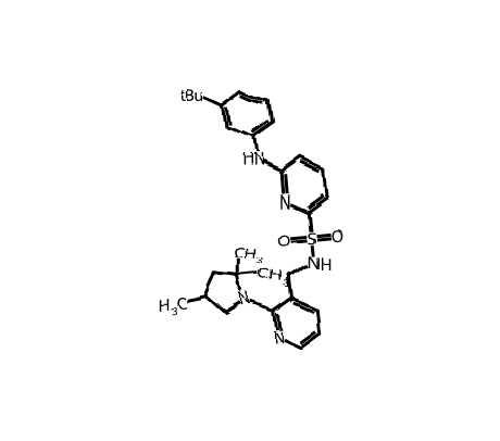 CC1CN(c2ncccc2CNS(=O)(=O)c2cccc(Nc3cccc(C(C)(C)C)c3)n2)C(C)(C)C1